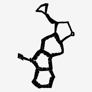 CCn1c2ccccc2c2cc3c(cc21)C(=C1CC1)CO3